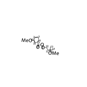 COc1cccc(C(=O)OO[CH]CC(C)(C)OC)c1